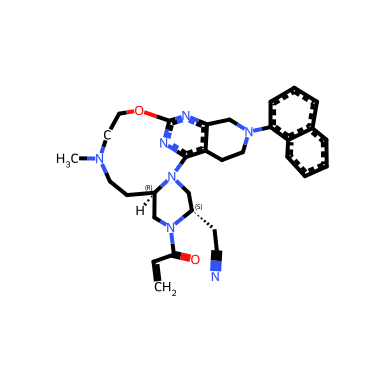 C=CC(=O)N1C[C@H]2CCN(C)CCOc3nc4c(c(n3)N2C[C@@H]1CC#N)CCN(c1cccc2ccccc12)C4